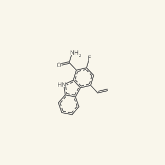 C=Cc1cc(F)c(C(N)=O)c2[nH]c3ccccc3c12